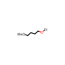 CCOCCC[CH]OC